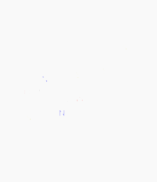 Cc1ccc(C2=C3C(=O)N(C)C(c4ccc(-c5cc6sc(C)c(C)c6s5)s4)=C3C(=O)N2C)s1